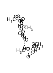 CCc1c2c(nc3ccc(OC(=O)N4CCN(C(=O)CCCCCN(C)c5ccc([C@H]6C[C@@]7(C)C(CC[C@@H]7C(C)=O)[C@@H]7CCC8=CC(=O)CCC8=C76)cc5)CC4)cc13)-c1cc3c(c(=O)n1C2)COC(=O)[C@@H]3CC